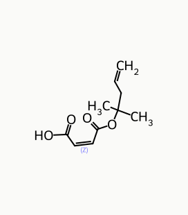 C=CCC(C)(C)OC(=O)/C=C\C(=O)O